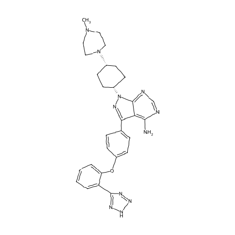 CN1CCN([C@H]2CC[C@@H](n3nc(-c4ccc(Oc5ccccc5-c5nn[nH]n5)cc4)c4c(N)ncnc43)CC2)CC1